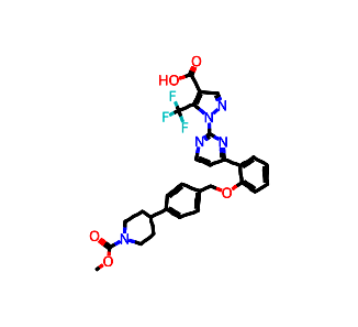 COC(=O)N1CCC(c2ccc(COc3ccccc3-c3ccnc(-n4ncc(C(=O)O)c4C(F)(F)F)n3)cc2)CC1